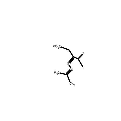 CC(C)=NN=C(CC(=O)O)C(F)F